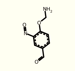 NCOc1ccc(C=O)cc1N=O